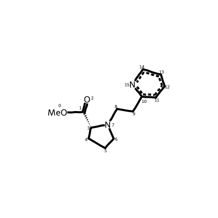 COC(=O)[C@H]1CCCN1CCc1ccccn1